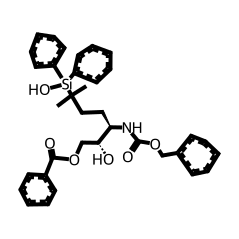 CC(C)(CC[C@@H](NC(=O)OCc1ccccc1)[C@H](O)COC(=O)c1ccccc1)[Si](O)(c1ccccc1)c1ccccc1